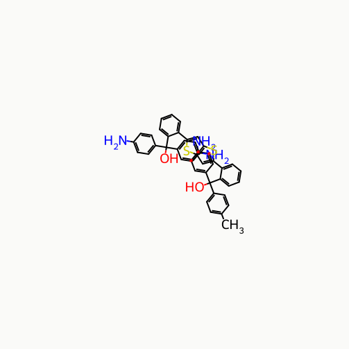 Cc1ccc(C(O)(c2ccc(N)cc2)c2ccccc2-c2cc3sc(-c4ccccc4C(O)(c4ccc(N)cc4)c4ccc(N)cc4)cc3s2)cc1